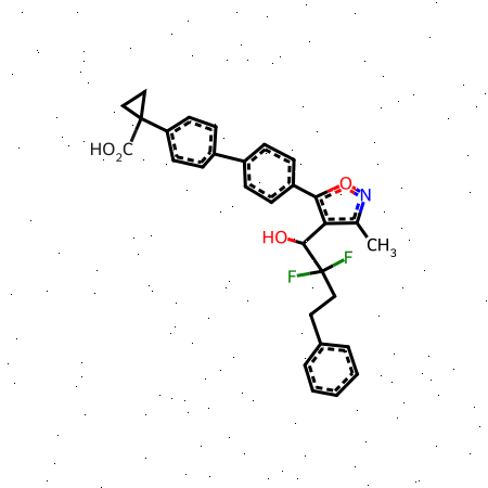 Cc1noc(-c2ccc(-c3ccc(C4(C(=O)O)CC4)cc3)cc2)c1C(O)C(F)(F)CCc1ccccc1